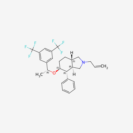 C=CCN1C[C@H]2CC[C@H](O[C@H](C)c3cc(C(F)(F)F)cc(C(F)(F)F)c3)[C@@H](c3ccccc3)[C@@H]2C1